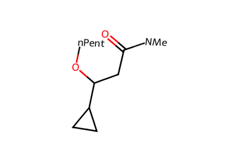 CCCCCOC(CC(=O)NC)C1CC1